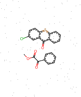 COC(=O)C(=O)c1ccccc1.O=c1c2ccccc2sc2ccc(Cl)cc12